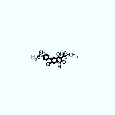 Cc1ncc(-c2c(O)c3cc(-c4ccc(N(C)C)cc4)c(Cl)cc3[nH]c2=O)s1